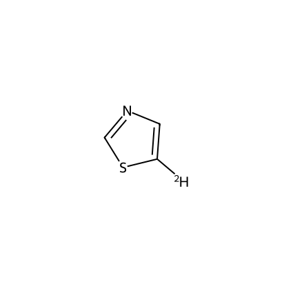 [2H]c1cncs1